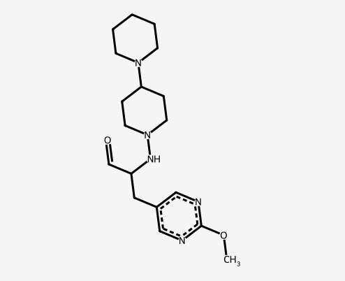 COc1ncc(CC(C=O)NN2CCC(N3CCCCC3)CC2)cn1